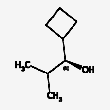 CC(C)[C@H](O)C1CCC1